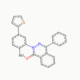 O=c1c2ccccc2c(-c2ccccc2)nn1-c1cc(-c2cccs2)ccc1[N+](=O)[O-]